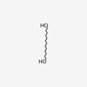 OCCCCCCCCCCCCCO